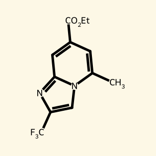 CCOC(=O)c1cc(C)n2cc(C(F)(F)F)nc2c1